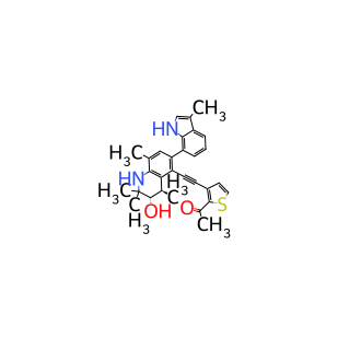 CC(=O)c1sccc1C#Cc1c(-c2cccc3c(C)c[nH]c23)cc(C)c2c1[C@@H](C)[C@H](O)C(C)(C)N2